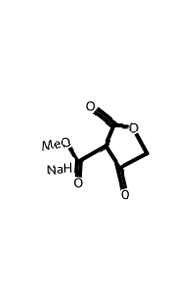 COC(=O)C1C(=O)COC1=O.[NaH]